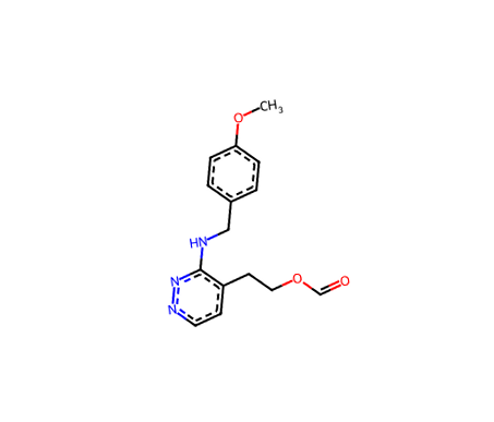 COc1ccc(CNc2nnccc2CCOC=O)cc1